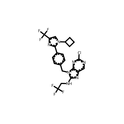 FC(F)(F)CNc1nc2cnc(Cl)nc2n1Cc1ccc(-c2nc(C(F)(F)F)cn2C2CCC2)cc1